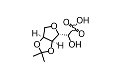 CC1(C)O[C@H]2[C@H](CO[C@@H]2C(O)S(=O)(=O)O)O1